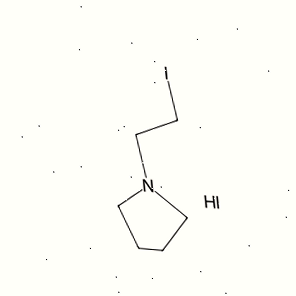 I.ICCN1CCCC1